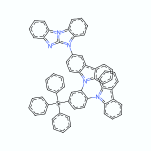 c1ccc([Si](c2ccccc2)(c2ccccc2)c2ccc(-n3c4ccccc4c4ccccc43)c(-n3c4ccccc4c4cc(-n5c6ccccc6n6c7ccccc7nc56)ccc43)c2)cc1